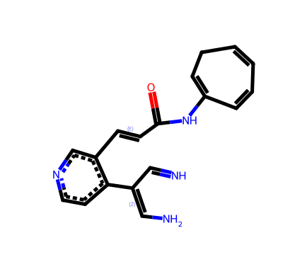 N=C/C(=C\N)c1ccncc1/C=C/C(=O)NC1=CCC=CC=C1